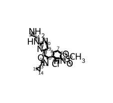 CS(=O)(=O)Nc1cccc(-c2nc(C3CC3)oc2-c2ccnc(NCCN)n2)c1Cl